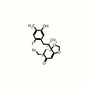 CC(=O)C[C@H]1C[C@]2([C@@H](C)Cc3cc(O)c(C)cc3F)OCOC2=CC1=O